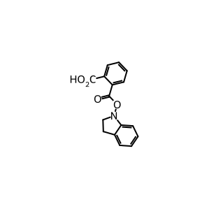 O=C(O)c1ccccc1C(=O)ON1CCc2ccccc21